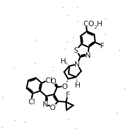 O=C(O)c1cc(F)c2nc(N3C[C@@H]4C[C@H]3C[C@H]4OC(=O)c3c(-c4c(Cl)cccc4Cl)noc3C3(F)CC3)sc2c1